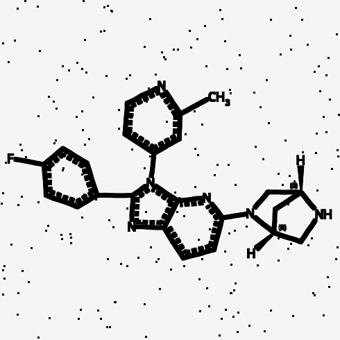 Cc1cc(-n2c(-c3ccc(F)cc3)nc3ccc(N4C[C@H]5C[C@@H]4CN5)nc32)ccn1